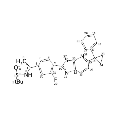 C[C@H](N[S+]([O-])C(C)(C)C)c1ccc(-c2nc3ccc(C4(c5ccccc5)CC4)nc3s2)c(F)c1